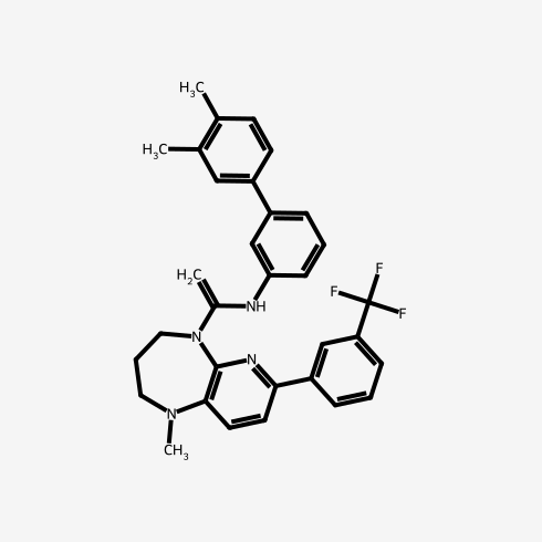 C=C(Nc1cccc(-c2ccc(C)c(C)c2)c1)N1CCCN(C)c2ccc(-c3cccc(C(F)(F)F)c3)nc21